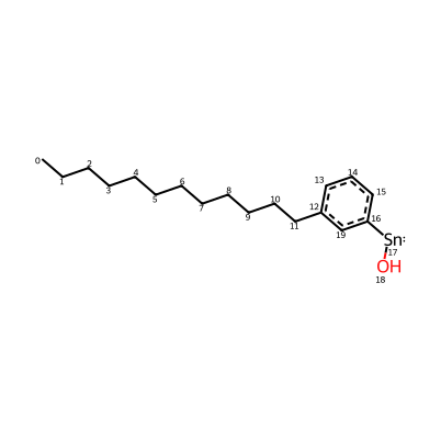 CCCCCCCCCCCCc1ccc[c]([Sn][OH])c1